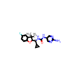 CC1(C)c2cc(F)ccc2OC1[C@@H](NC(=O)Nc1cnc(N)nc1)C1CC1